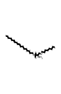 CCCCCC=CCC=CCCCCCCCCOC(C)(C)C(N)COCCCCCCCC